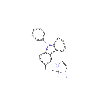 Cc1ccc2c(c1N1C=CN(C)C1(C)C)c1ccccc1n2-c1ccccc1